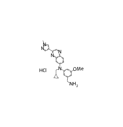 COc1cc(CN)cc(N(CC2CC2)c2ccc3ncc(-c4cnn(C)c4)nc3c2)c1.Cl